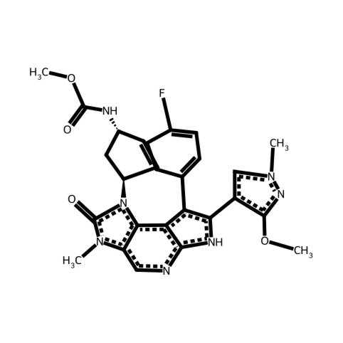 COC(=O)N[C@@H]1C=C[C@@H](n2c(=O)n(C)c3cnc4[nH]c(-c5cn(C)nc5OC)c(C5=CC=C(F)CC5)c4c32)C1